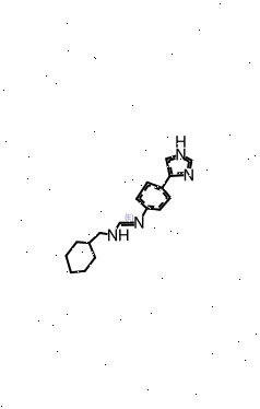 C(=N\c1ccc(-c2c[nH]cn2)cc1)/NCC1CCCCC1